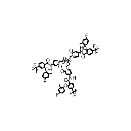 Cc1cc(F)ccc1Oc1cc(C(F)(F)F)ccc1C(=O)Nc1ccn(COP(=O)(OCn2ccc(NC(=O)c3ccc(C(F)(F)F)cc3Oc3ccc(F)cc3C)cc2=O)OCn2ccc(NC(=O)c3ccc(C(F)(F)F)cc3Oc3ccc(F)cc3C)cc2=O)c(=O)c1